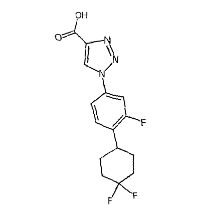 O=C(O)c1cn(-c2ccc(C3CCC(F)(F)CC3)c(F)c2)nn1